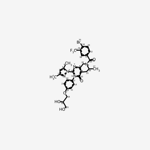 Cc1cc(C)n(-c2nc3c(c(=O)n2-c2ccc(OCC(O)CO)cc2)CC(C)N(C(=O)c2ccc(Br)c(C(F)(F)F)c2)C3)n1